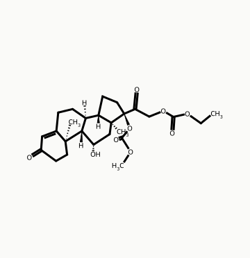 CCOC(=O)OCC(=O)[C@@]1(OC(=O)OC)CC[C@H]2[C@@H]3CCC4=CC(=O)CC[C@]4(C)[C@H]3[C@@H](O)C[C@@]21C